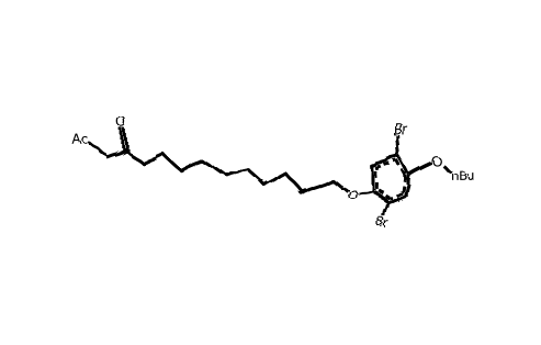 CCCCOc1cc(Br)c(OCCCCCCCCCCC(=O)CC(C)=O)cc1Br